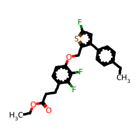 CCOC(=O)CCc1ccc(OCc2sc(F)cc2-c2ccc(CC)cc2)c(F)c1F